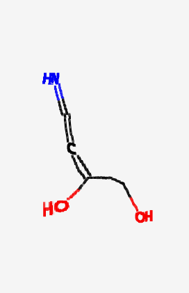 N=C=C=C(O)CO